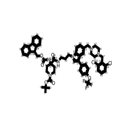 CC(C)(C)OC(=O)N1CCC(NC(=O)OCC2c3ccccc3-c3ccccc32)(C(=O)NCCCn2cc(-c3ccc(OC(F)(F)F)cc3)c3cc(CN4CCN(Cc5c(Cl)cccc5Cl)CC4)ccc32)CC1